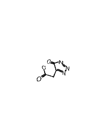 O=C(Cl)CC1=NN=NC1=O